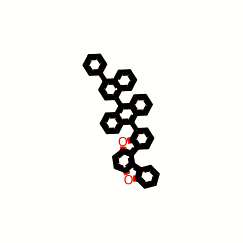 c1ccc(-c2ccc(-c3c4ccccc4c(-c4cccc5c4oc4ccc6oc7ccccc7c6c45)c4ccccc34)c3ccccc23)cc1